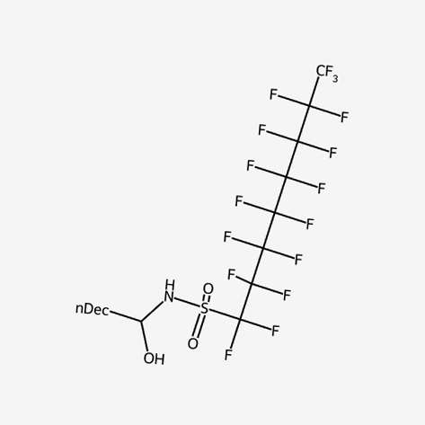 CCCCCCCCCCC(O)NS(=O)(=O)C(F)(F)C(F)(F)C(F)(F)C(F)(F)C(F)(F)C(F)(F)C(F)(F)C(F)(F)F